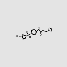 CC(C)(C)c1ncn(S(=O)(=O)c2ccc(NC(=O)CCC3CCC3)cc2)n1